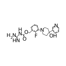 N=C(N)NC(=O)OCc1cccc(N2CCC(O)(c3cccnc3)CC2)c1F